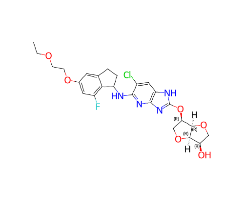 CCOCCOc1cc(F)c2c(c1)CCC2Nc1nc2nc(O[C@@H]3CO[C@H]4[C@@H]3OC[C@H]4O)[nH]c2cc1Cl